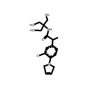 CC(C(=O)NC(CO)(CO)CO)c1ccc(N2CC=CC2)c(Cl)c1